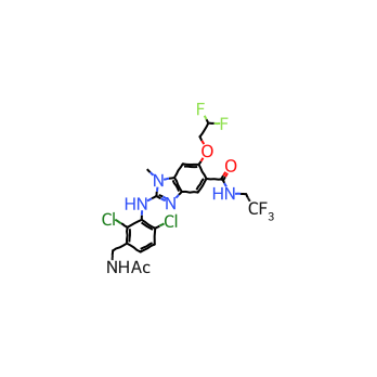 CC(=O)NCc1ccc(Cl)c(Nc2nc3cc(C(=O)NCC(F)(F)F)c(OCC(F)F)cc3n2C)c1Cl